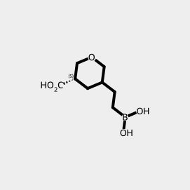 O=C(O)[C@@H]1COCC(CCB(O)O)C1